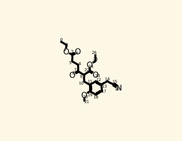 CCOC(=O)CCC(=O)C(Cc1cc(CC#N)ccc1OC)C(=O)OCC